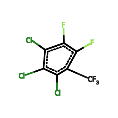 Fc1c(F)c(C(F)(F)F)c(Cl)c(Cl)c1Cl